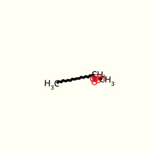 CCCCCCCCCCCCCCCCC(C)OP(=O)(O)OCC